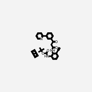 C#Cc1cccc(NC(=O)OC(C)(C)C)c1NC(=O)CC(=O)c1cccc(-c2ccccn2)c1.c1cc2ccc1-2